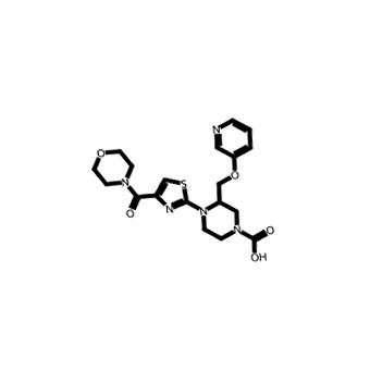 O=C(O)N1CCN(c2nc(C(=O)N3CCOCC3)cs2)C(COc2cccnc2)C1